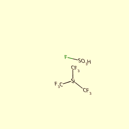 FC(F)(F)[Si](C(F)(F)F)C(F)(F)F.O=S(=O)(O)F